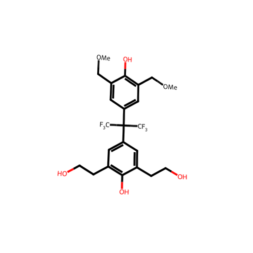 COCc1cc(C(c2cc(CCO)c(O)c(CCO)c2)(C(F)(F)F)C(F)(F)F)cc(COC)c1O